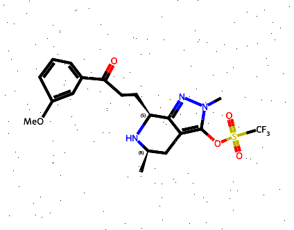 COc1cccc(C(=O)CC[C@@H]2N[C@H](C)Cc3c2nn(C)c3OS(=O)(=O)C(F)(F)F)c1